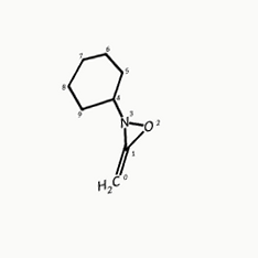 C=C1ON1C1CCCCC1